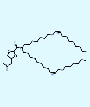 CCCCCCCC/C=C\CCCCCCCCN(CCCCCCCC/C=C\CCCCCCCC)C(=O)C1OCC(CN(C)C)O1